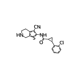 N#Cc1c(NC(=O)C2CC2c2ccccc2Cl)sc2c1CCNC2